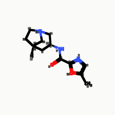 Cc1cnc(C(=O)N[C@@H]2C[C@H]3CCN(C3)C2)o1